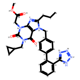 CCCc1nc2c(c(=O)n(CC3CC3)c(=O)n2CC(=O)OC)n1Cc1ccc(-c2ccccc2-c2nnn[nH]2)cc1